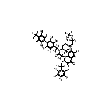 [2H]c1c([2H])c(F)c(F)c(C([2H])([2H])Sc2c([2H])c(=O)c3c([2H])c([2H])c([2H])c([2H])c3n2C([2H])([2H])C(=O)N(C2CCN(CC([2H])([2H])OC([2H])([2H])[2H])CC2)C([2H])([2H])c2c([2H])c([2H])c(-c3c([2H])c([2H])c(C(F)(F)F)c(C)c3[2H])c([2H])c2[2H])c1[2H]